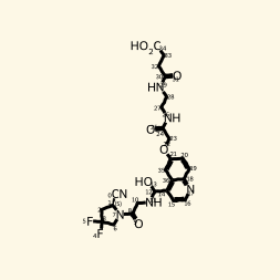 N#C[C@@H]1CC(F)(F)CN1C(=O)CNC(O)c1ccnc2ccc(OCC(=O)NCCNC(=O)CCC(=O)O)cc12